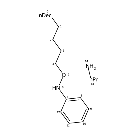 CCCCCCCCCCCCCCONc1ccccc1.CCCN